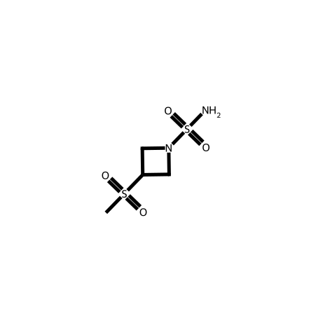 CS(=O)(=O)C1CN(S(N)(=O)=O)C1